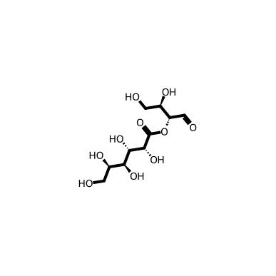 O=C[C@H](OC(=O)[C@H](O)[C@@H](O)[C@@H](O)[C@H](O)CO)[C@H](O)CO